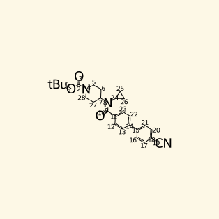 CC(C)(C)OC(=O)N1CCC(N(C(=O)c2ccc(-c3ccc(C#N)cc3)cc2)C2CC2)CC1